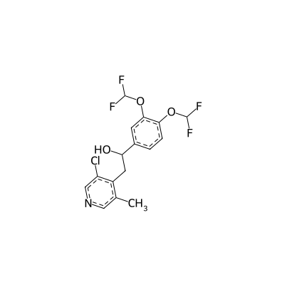 Cc1cncc(Cl)c1CC(O)c1ccc(OC(F)F)c(OC(F)F)c1